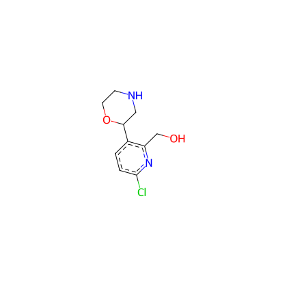 OCc1nc(Cl)ccc1C1CNCCO1